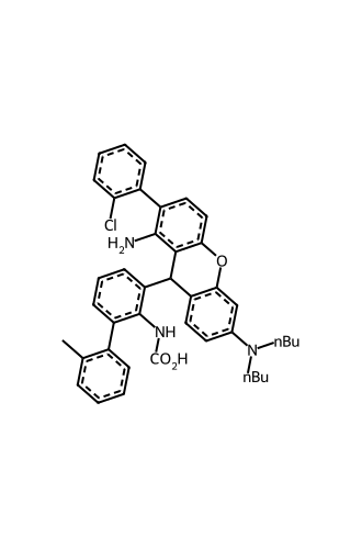 CCCCN(CCCC)c1ccc2c(c1)Oc1ccc(-c3ccccc3Cl)c(N)c1C2c1cccc(-c2ccccc2C)c1NC(=O)O